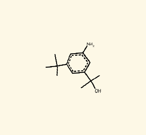 CC(C)(C)c1cc(N)cc(C(C)(C)O)c1